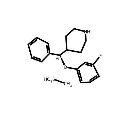 CS(=O)(=O)O.Fc1cccc(O[C@@H](c2ccccc2)C2CCNCC2)c1